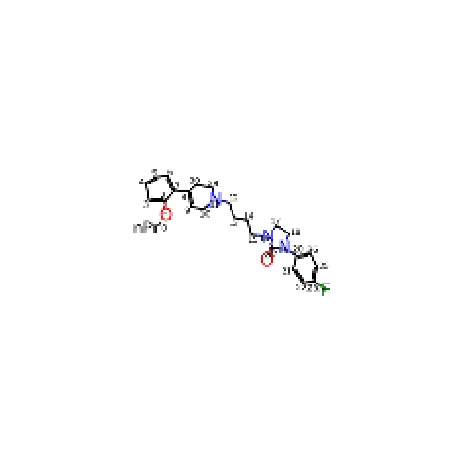 CCCOc1ccccc1C1=CCN(CCCCN2CCN(c3ccc(F)cc3)C2=O)CC1